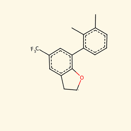 Cc1cccc(-c2cc(C(F)(F)F)cc3c2O[CH]C3)c1C